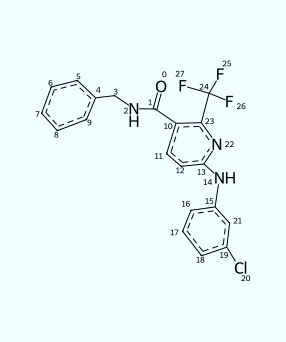 O=C(NCc1ccccc1)c1ccc(Nc2cccc(Cl)c2)nc1C(F)(F)F